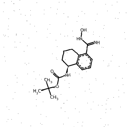 CC(C)(C)OC(=O)N[C@H]1CCCc2c(C(=N)NO)cccc21